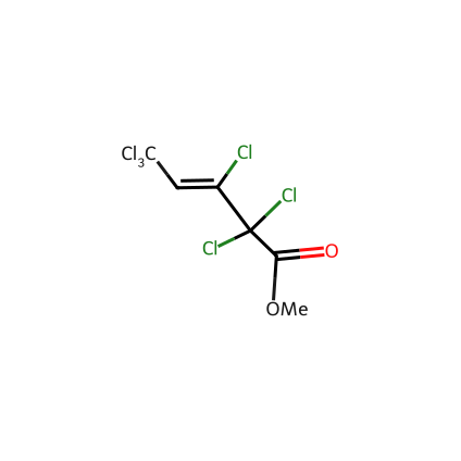 COC(=O)C(Cl)(Cl)/C(Cl)=C/C(Cl)(Cl)Cl